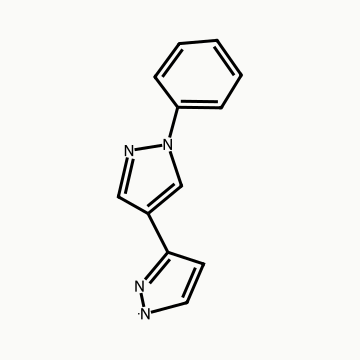 C1=CC(c2cnn(-c3ccccc3)c2)=N[N]1